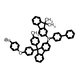 CCC(C)c1ccc(Oc2ccc(C3(c4ccc(C)cc4)c4ccccc4-c4ccc(N(c5ccc(-c6ccccc6)cc5)c5ccc6c(c5)C(C)(C)c5ccccc5-6)cc43)cc2)cc1